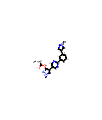 CNC(=O)Oc1nn(C)cc1-c1cnc(-c2cccc(-c3cnn(C)c3)c2)nc1